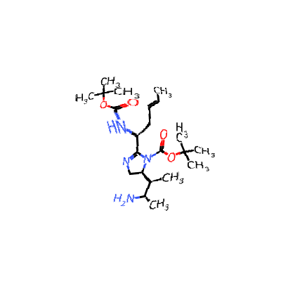 C/C=C/C[C@H](NC(=O)OC(C)(C)C)C1=NCC([C@@H](C)[C@@H](C)N)N1C(=O)OC(C)(C)C